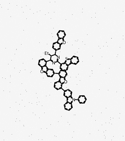 CCC1C(c2cccc3oc4ccc(-c5cccc6oc7c(-c8ccc9c(c8)c8ccccc8n9-c8ccccc8)cccc7c56)cc4c23)=NC(c2cccc3c2sc2ccccc23)=NC1c1ccc2c(c1)oc1ccccc12